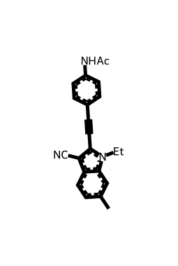 CCn1c(C#Cc2ccc(NC(C)=O)cc2)c(C#N)c2ccc(C)cc21